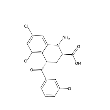 NN1c2cc(Cl)cc(Cl)c2[C@@H](C(=O)c2cccc(Cl)c2)C[C@@H]1C(=O)O